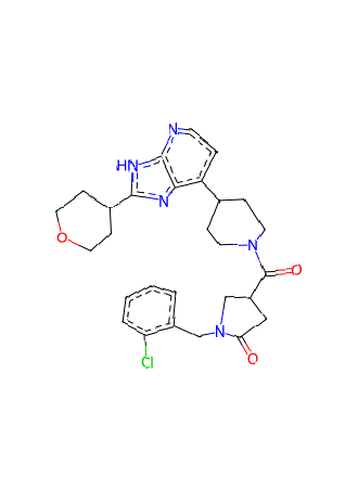 O=C1CC(C(=O)N2CCC(c3ccnc4[nH]c(C5CCOCC5)nc34)CC2)CN1Cc1ccccc1Cl